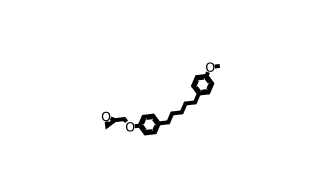 COc1ccc(CCCCCc2ccc(OCC3CO3)cc2)cc1